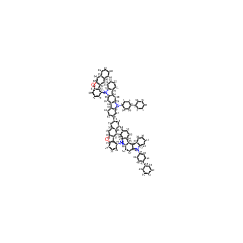 c1ccc(-c2ccc(-n3c4cc(-c5ccc6cc7c(cc6c5)oc5cccc(-n6c8ccccc8c8c9c%10ccccc%10n(-c%10ccc(-c%11ccccc%11)cc%10)c9ccc86)c57)ccc4c4cc5c(cc43)c3ccccc3n5-c3cccc4oc5cc6ccccc6cc5c34)cc2)cc1